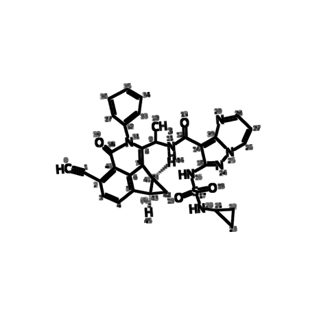 C#Cc1ccc2c3c(c(C(C)NC(=O)c4c(NS(=O)(=O)NC5CC5)nn5cccnc45)n(-c4ccccc4)c(=O)c13)[C@H]1C[C@@H]21